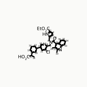 CCOC(=O)c1ccc(CN(Cc2ncc(-c3cccc(C(C)C(=O)O)c3)cc2Cl)C(=O)c2c(C)c(C)nc3ccccc23)[nH]1